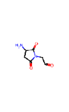 NC1CC(=O)N(CC=O)C1=O